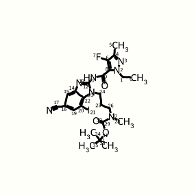 CCn1nc(C)c(F)c1C(=O)Nc1nc2cc(C#N)cc(I)c2n1CCCN(C)C(=O)OC(C)(C)C